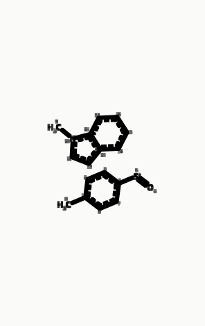 Cc1ccc([S+]=O)cc1.Cn1ccc2ccccc21